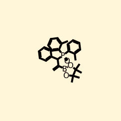 C=C(B1OC(C)(C)C(C)(C)O1)C(c1ccccc1)P(=O)(c1ccccc1C)c1ccccc1C